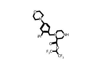 CC(C)c1cc(N2CCOCC2)ccc1CN1CCNCC1C(=O)OC(C(F)(F)F)C(F)(F)F